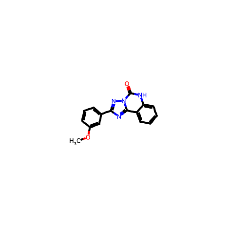 COc1cccc(-c2nc3c4ccccc4[nH]c(=O)n3n2)c1